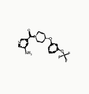 Nc1cncc(C(=O)N2CCC(Oc3cccc(OC(F)(F)F)c3)CC2)c1